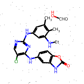 CCNc1cc(Nc2ncc(Cl)c(Nc3ccc4oc(=O)[nH]c4c3)n2)cc(C)c1C.O=CO